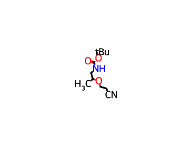 CC(CNC(=O)OC(C)(C)C)OCCC#N